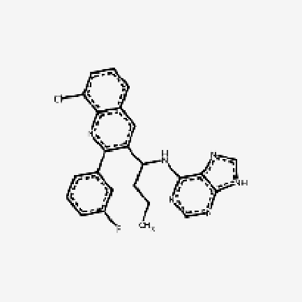 CCCC(Nc1ncnc2[nH]cnc12)c1cc2cccc(Cl)c2nc1-c1cccc(F)c1